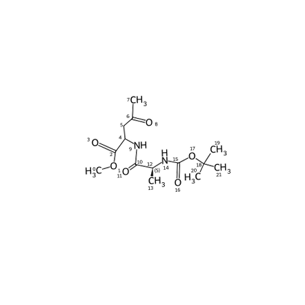 COC(=O)C(CC(C)=O)NC(=O)[C@H](C)NC(=O)OC(C)(C)C